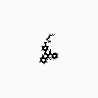 COCCNCc1ccc(-c2nc3ccccc3c(C(F)(F)F)c2C(=O)c2ccccc2)cc1